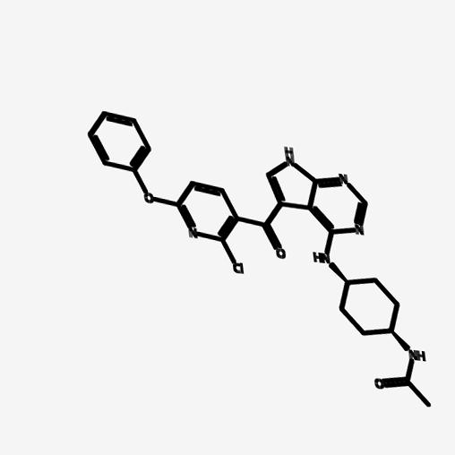 CC(=O)N[C@H]1CC[C@@H](Nc2ncnc3[nH]cc(C(=O)c4ccc(Oc5ccccc5)nc4Cl)c23)CC1